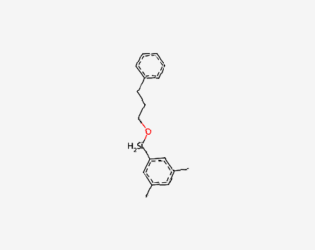 Cc1cc(C)cc([SiH2]OCCCc2ccccc2)c1